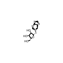 OC[C@H]1O[C@@H](Sn2cnc3ncnc-3c2)[C@H](O)[C@@H]1O